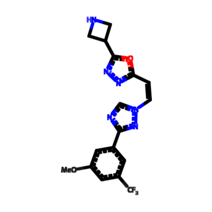 COc1cc(-c2ncn(/C=C\c3nnc(C4CNC4)o3)n2)cc(C(F)(F)F)c1